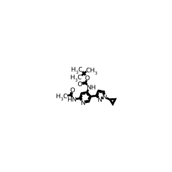 CC(=O)Nc1cc(NC(=O)OC(C)(C)C)c(-c2ccn(C3CC3)n2)cn1